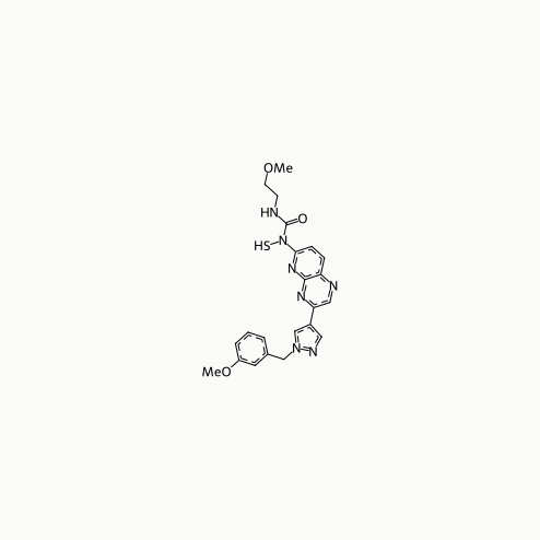 COCCNC(=O)N(S)c1ccc2ncc(-c3cnn(Cc4cccc(OC)c4)c3)nc2n1